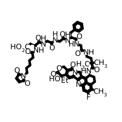 CC[C@@]1(O)C(=O)OCc2c1cc1n(c2=O)Cc2c-1nc1cc(F)c(C)c3c1c2[C@@H](NC(=O)C(C)(C)CCNC(=O)CNC(=O)[C@H](Cc1ccccc1)NC(=O)CNC(=O)CNC(=O)[C@H](CC(=O)O)NC(=O)CCCCCN1C(=O)C=CC1=O)CC3